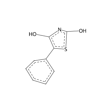 Oc1nc(O)c(-c2ccccc2)s1